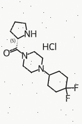 Cl.O=C([C@@H]1CCCN1)N1CCN(C2CCC(F)(F)CC2)CC1